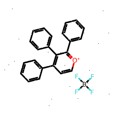 F[B-](F)(F)F.c1ccc(-c2cc[o+]c(-c3ccccc3)c2-c2ccccc2)cc1